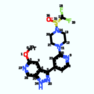 CC(C)Oc1cc2c(-c3ccnc(N4CCN([S+]([O-])C(F)F)CC4)c3)n[nH]c2cn1